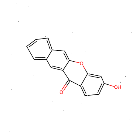 O=c1c2ccc(O)cc2oc2cc3ccccc3cc12